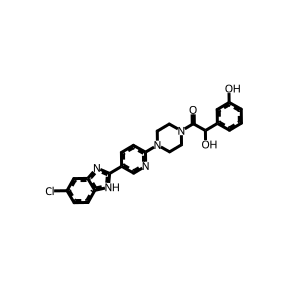 O=C(C(O)c1cccc(O)c1)N1CCN(c2ccc(-c3nc4cc(Cl)ccc4[nH]3)cn2)CC1